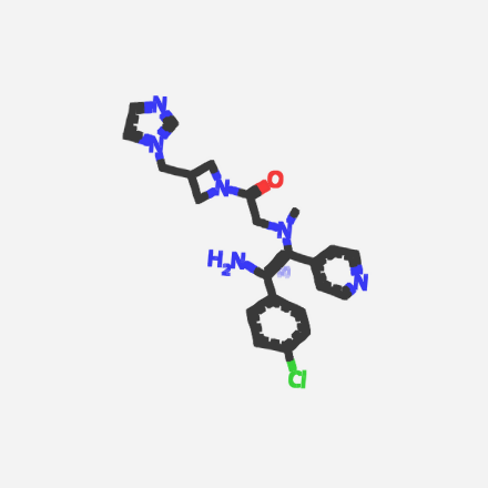 CN(CC(=O)N1CC(Cn2ccnc2)C1)/C(=C(\N)c1ccc(Cl)cc1)c1ccncc1